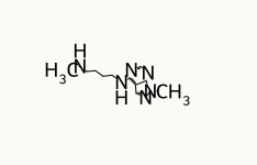 CNCCCCNc1ncnc2c1cnn2C